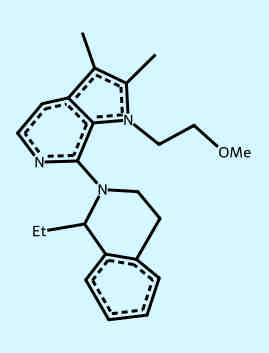 CCC1c2ccccc2CCN1c1nccc2c(C)c(C)n(CCOC)c12